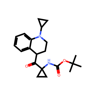 CC(C)(C)OC(=O)NC1(C(=O)C2CCN(C3CC3)c3ccccc32)CC1